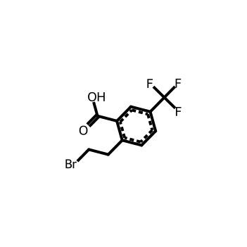 O=C(O)c1cc(C(F)(F)F)ccc1CCBr